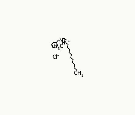 CCCCCCCCCCCC[n+]1ccn(Cc2ccccc2)c1C.[Cl-]